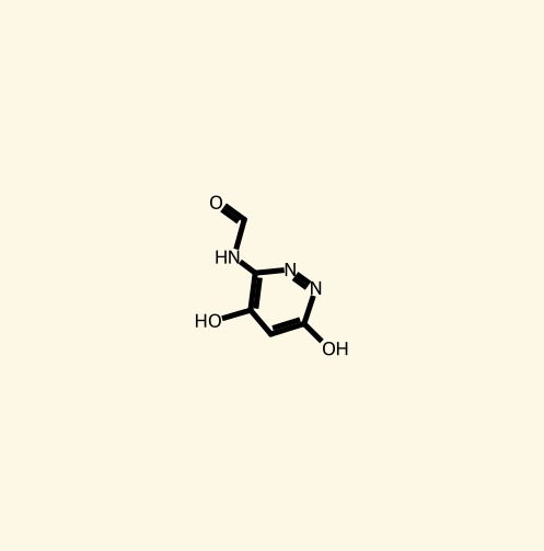 O=CNc1nnc(O)cc1O